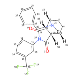 O=C1[C@H]2[C@H]3CC[C@@H]([C@H]2C(=O)N1c1cccc(C(F)(F)F)c1)N(Cc1ccccc1)C3